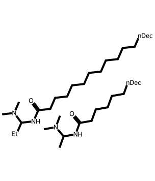 CCCCCCCCCCCCCCCC(=O)NC(C)N(C)C.CCCCCCCCCCCCCCCCCCCCCC(=O)NC(CC)N(C)C